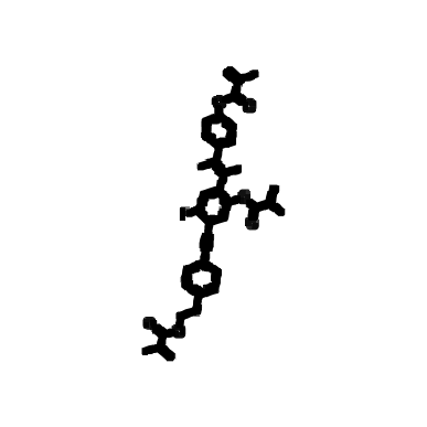 C=C(C)C(=O)OCCc1ccc(C#Cc2cc(OC(=O)C(=C)C)c(/C(C)=C(\C)c3ccc(OC(=O)C(=C)C)cc3)cc2F)cc1